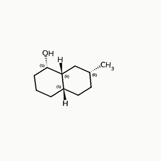 C[C@@H]1CC[C@@H]2CCC[C@H](O)[C@@H]2C1